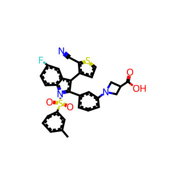 Cc1cccc(S(=O)(=O)n2c(-c3cccc(N4CC(C(=O)O)C4)c3)c(-c3ccsc3C#N)c3cc(F)ccc32)c1